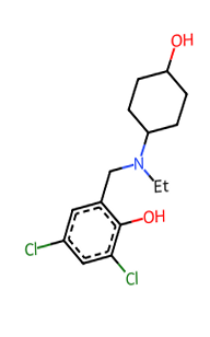 CCN(Cc1cc(Cl)cc(Cl)c1O)C1CCC(O)CC1